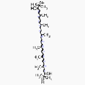 CC(/C=C/C=C(C)/C=C/C=C(C)/C=C/[C@@H](O)C(C)(C)O)=C\C=C\C=C(C)\C=C\C=C(C)\C=C\C=C(C)\C=C\[C@@H](O)C(C)(C)O